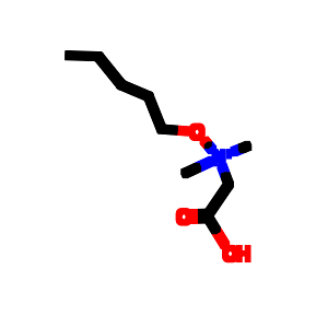 CCCCCO[N+](C)(C)CC(=O)O